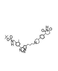 Cc1cc(-c2ncnn3cc(CCCCN4CCC(c5ccc([C@@H]6CCC(=O)NC6=O)cc5)CC4)cc23)ccc1CNC(=O)OC(C)(C)C